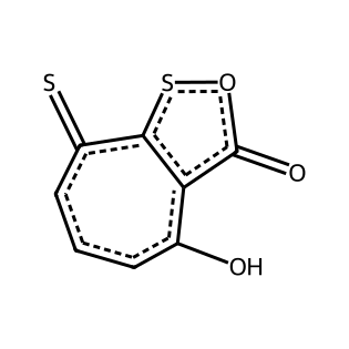 O=c1osc2c(=S)cccc(O)c12